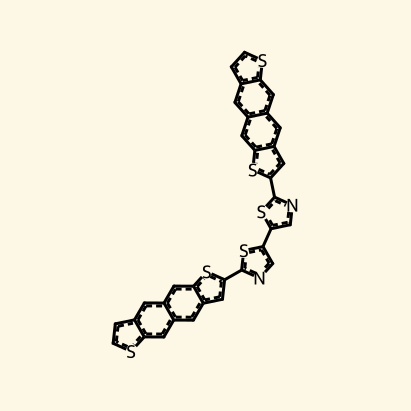 c1cc2cc3cc4sc(-c5ncc(-c6cnc(-c7cc8cc9cc%10sccc%10cc9cc8s7)s6)s5)cc4cc3cc2s1